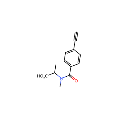 [C]#Cc1ccc(C(=O)N(C)C(C)C(=O)O)cc1